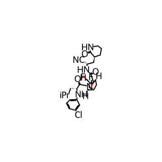 CC(C)C[C@@H](Nc1cccc(Cl)c1)C(=O)N1[C@H]2CC[C@@H]([C@@H]1C(=O)N[C@H](C#N)C[C@@H]1CCCNC1=O)C(F)(F)C2